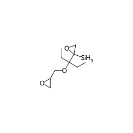 CCC(CC)(OCC1CO1)C1([SiH3])CO1